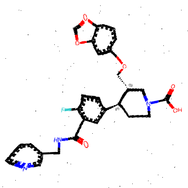 O=C(NCc1cccnc1)c1cc([C@@H]2CCN(C(=O)O)C[C@H]2COc2ccc3c(c2)OCO3)ccc1F